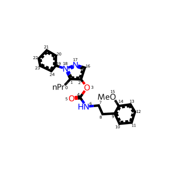 CCCc1c(OC(=O)NCCc2ccccc2OC)cnn1-c1ccccc1